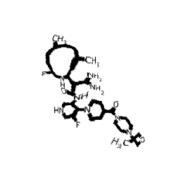 C/C1=C/C(C(C(=O)NC2CNCC(F)C2N2CCC(C(=O)N3CCN(C4(C)COC4)CC3)CC2)C(N)N)NCC(F)CCC(C)CC1